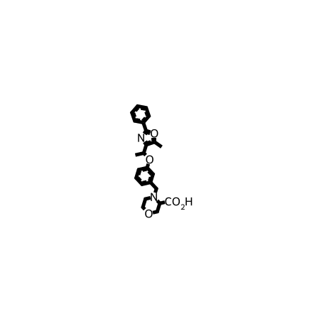 Cc1oc(-c2ccccc2)nc1C(C)Oc1cccc(CN2CCOCC2C(=O)O)c1